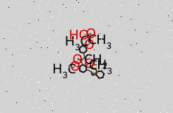 C=C(C(=O)c1c(OC)ccc(-c2cc3ccccc3s2)c1OC)c1cccc(OC(C)(C)C(=O)O)c1